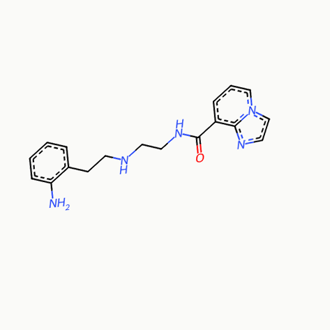 Nc1ccccc1CCNCCNC(=O)c1cccn2ccnc12